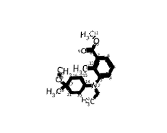 CCN(c1cccc(C(=O)OC)c1C)C1CCC(C)(OC)CC1